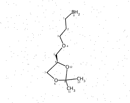 BCCCOC[C@@H]1COC(C)(C)O1